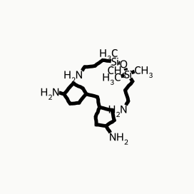 C[Si](C)(CCCN)O[Si](C)(C)CCCN.NC1CCC(CC2CCC(N)CC2)CC1